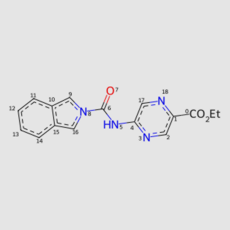 CCOC(=O)c1cnc(NC(=O)n2cc3ccccc3c2)cn1